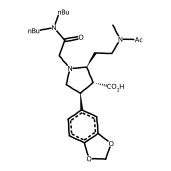 CCCCN(CCCC)C(=O)CN1C[C@H](c2ccc3c(c2)OCO3)[C@@H](C(=O)O)[C@@H]1CCN(C)C(C)=O